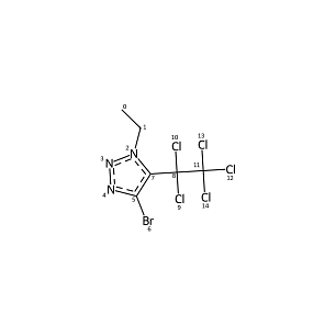 CCn1nnc(Br)c1C(Cl)(Cl)C(Cl)(Cl)Cl